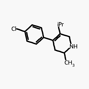 CC1CC(c2ccc(Cl)cc2)=C(C(C)C)CN1